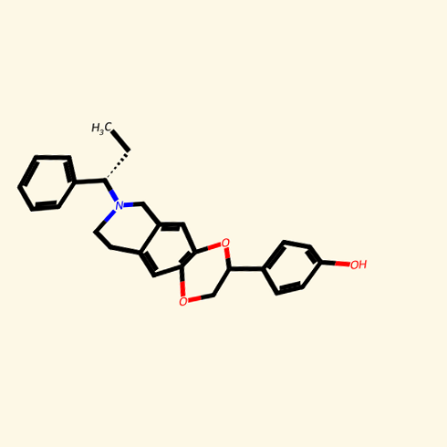 CC[C@@H](c1ccccc1)N1CCc2cc3c(cc2C1)OC(c1ccc(O)cc1)CO3